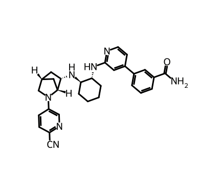 N#Cc1ccc(N2C[C@@H]3C[C@H](N[C@@H]4CCCC[C@H]4Nc4cc(-c5cccc(C(N)=O)c5)ccn4)[C@H]2C3)cn1